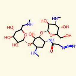 CNCC1O[C@H](O[C@@H]2C(NC)C[C@@H](NC(=O)CN=[N+]=[N-])[C@@H](O[C@H]3OC(CO)[C@@H](O)[C@@H](NC)C3O)C2O)[C@@H](O)C(O)[C@@H]1O